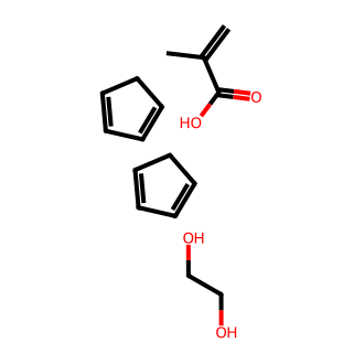 C1=CCC=C1.C1=CCC=C1.C=C(C)C(=O)O.OCCO